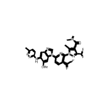 COc1cc2c(cc1Nc1ccc(C)nn1)ncn2-c1ccc(C(F)F)c(-n2nc(C(F)F)c(C(=O)N(C)C)c2C)n1